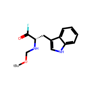 CC(C)(C)OCN[C@@H](Cc1c[nH]c2ccccc12)C(=O)F